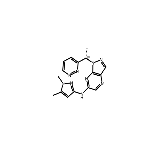 Cc1cc(Nc2cnc3cnn([C@@H](C)c4cccnn4)c3n2)nn1C